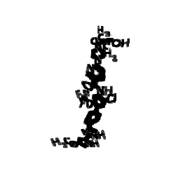 COC1CNC(c2nc(-c3ccc(-c4cc(Cl)c(NC(=O)c5ccc(N6CCN(C(=O)C(C)(C)CO)CC6)nc5)cc4OC(F)(F)F)cc3)c[nH]2)C1